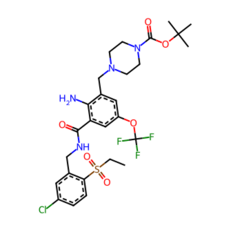 CCS(=O)(=O)c1ccc(Cl)cc1CNC(=O)c1cc(OC(F)(F)F)cc(CN2CCN(C(=O)OC(C)(C)C)CC2)c1N